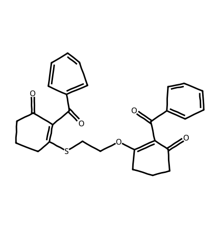 O=C1CCCC(OCCSC2=C(C(=O)c3ccccc3)C(=O)CCC2)=C1C(=O)c1ccccc1